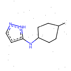 CC1CCC(Nc2ccn[nH]2)CC1